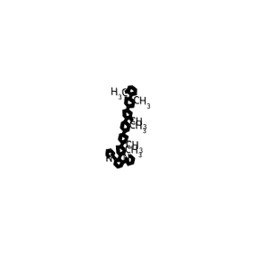 Cc1ccccc1-c1ccc(-c2ccc(-c3ccc(-c4ccc(-c5ccc(-c6c(-c7ccccn7)cccc6-c6ccccn6)cc5C)c(C)c4)cc3C)c(C)c2)cc1C